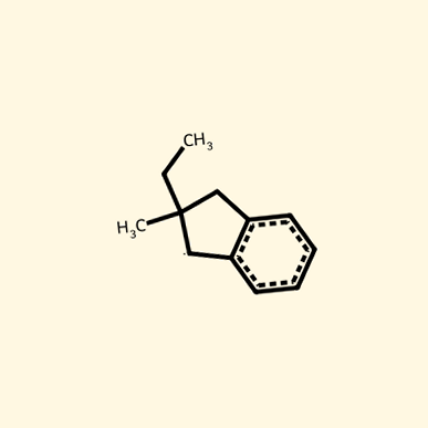 CCC1(C)[CH]c2ccccc2C1